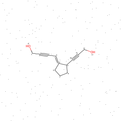 OCC#CC=C1CCCC1C#CCO